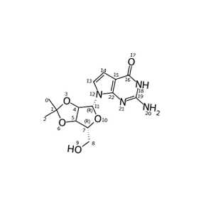 CC1(C)OC2C(O1)[C@@H](CO)O[C@H]2n1ccc2c(=O)[nH]c(N)nc21